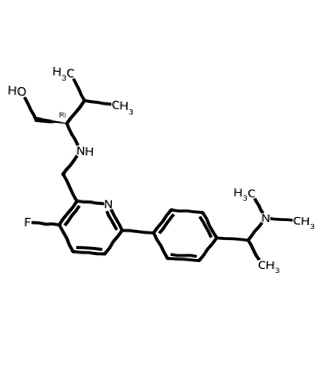 CC(C)[C@H](CO)NCc1nc(-c2ccc(C(C)N(C)C)cc2)ccc1F